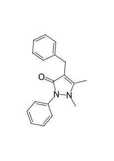 Cc1c(Cc2ccccc2)c(=O)n(-c2ccccc2)n1C